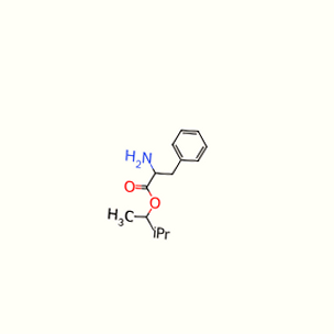 CC(C)C(C)OC(=O)C(N)Cc1ccccc1